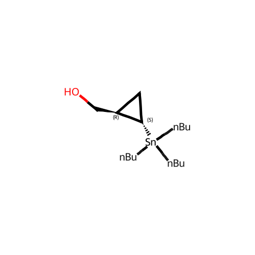 CCC[CH2][Sn]([CH2]CCC)([CH2]CCC)[C@H]1C[C@@H]1CO